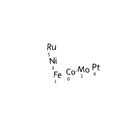 [Co].[Fe].[Mo].[Ni].[Pt].[Ru]